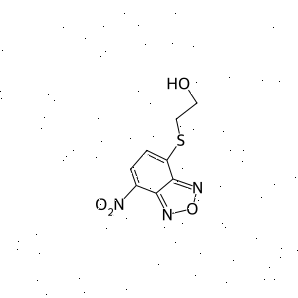 O=[N+]([O-])c1ccc(SCCO)c2nonc12